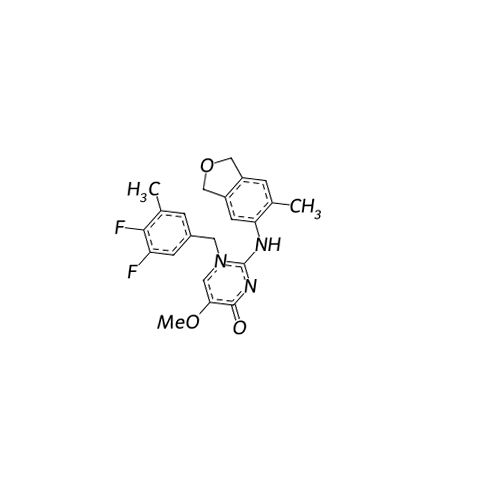 COc1cn(Cc2cc(C)c(F)c(F)c2)c(Nc2cc3c(cc2C)COC3)nc1=O